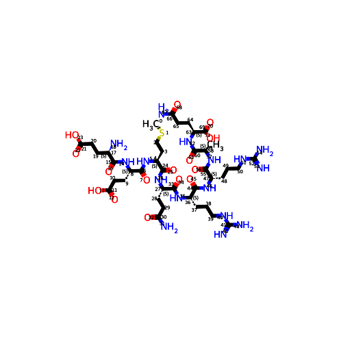 CSCC[C@H](NC(=O)[C@H](CCC(=O)O)NC(=O)[C@@H](N)CCC(=O)O)C(=O)N[C@@H](CCC(N)=O)C(=O)N[C@@H](CCCNC(=N)N)C(=O)N[C@@H](CCCNC(=N)N)C(=O)N[C@@H](C)C(=O)N[C@@H](CCC(N)=O)C(=O)O